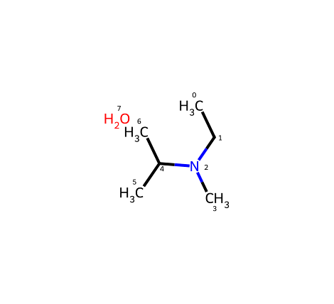 CCN(C)C(C)C.O